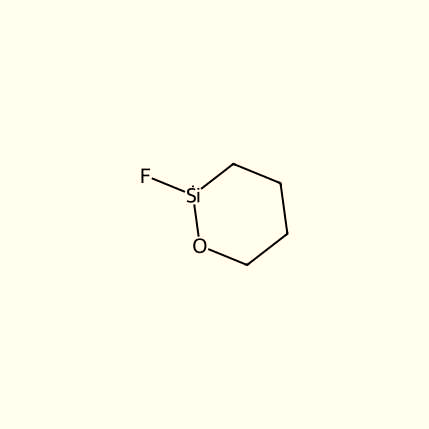 F[Si]1CCCCO1